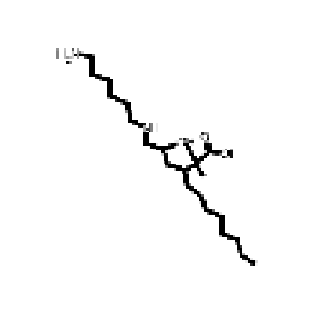 CCCCCCCCC(CC(O)CNCCCCCCN)C(C)(C)C(=O)O